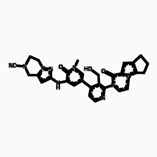 Cn1cc(-c2ccnc(-n3ccn4c5c(cc4c3=O)CCC5)c2CO)cc(Nc2cc3n(n2)CCN(C#N)C3)c1=O